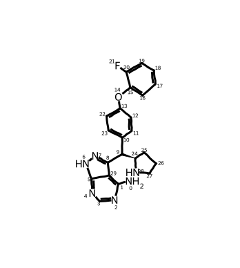 Nc1ncnc2[nH]nc(C(c3ccc(Oc4ccccc4F)cc3)[C@H]3CCCN3)c12